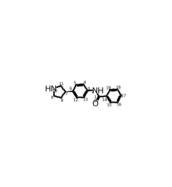 O=C(Nc1ccc([C@H]2CCNC2)cc1)c1ccccc1